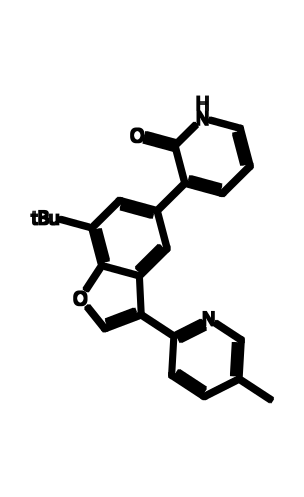 Cc1ccc(-c2coc3c(C(C)(C)C)cc(-c4ccc[nH]c4=O)cc23)nc1